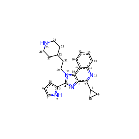 c1c[nH]c(-c2nc3c(C4CC4)nc4ccccc4c3n2CCC2CCNCC2)c1